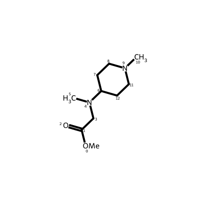 COC(=O)CN(C)C1CCN(C)CC1